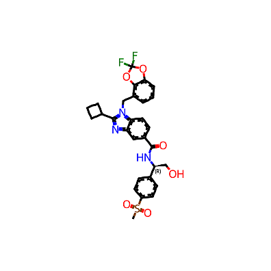 CS(=O)(=O)c1ccc([C@H](CO)NC(=O)c2ccc3c(c2)nc(C2CCC2)n3Cc2cccc3c2OC(F)(F)O3)cc1